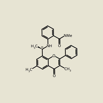 CNC(=O)c1ccccc1N[C@H](C)c1cc(C)cc2c(=O)c(C)c(-c3ccccc3)oc12